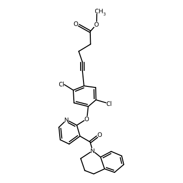 COC(=O)CCC#Cc1cc(Cl)c(Oc2ncccc2C(=O)N2CCCc3ccccc32)cc1Cl